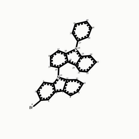 Brc1ccc2c(c1)c1ccccc1n2-c1cccc2c1c1ccccc1n2-c1ccccc1